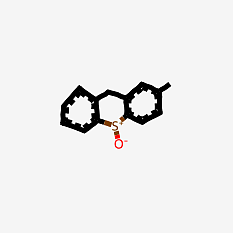 Cc1ccc2c(c1)Cc1ccccc1[S+]2[O-]